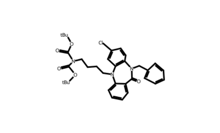 CC(C)(C)OC(=O)N(CCCCN1c2ccccc2C(=O)N(Cc2ccccc2)c2ccc(Cl)cc21)C(=O)OC(C)(C)C